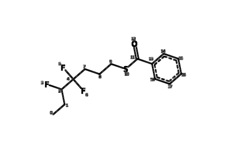 CCC(F)C(F)(F)CCCSC(=O)c1ccccc1